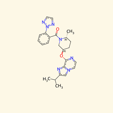 CC(C)c1cn2ccnc(O[C@@H]3CC[C@@H](C)N(C(=O)c4ccccc4-n4nccn4)C3)c2n1